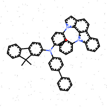 CC1(C)c2ccccc2-c2ccc(N(c3ccc(-c4ccccc4)cc3)c3ccc(-n4ccc5ccc6c7ccccc7n(-c7ccccc7)c6c54)cc3)cc21